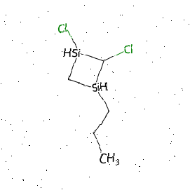 CCC[SiH]1C[SiH](Cl)C1Cl